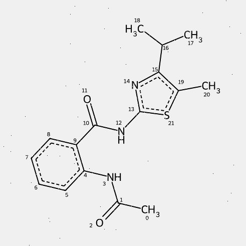 CC(=O)Nc1ccccc1C(=O)Nc1nc(C(C)C)c(C)s1